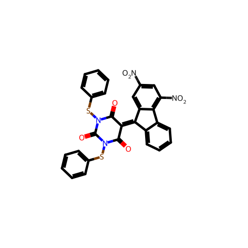 O=C1C(=C2c3ccccc3-c3c2cc([N+](=O)[O-])cc3[N+](=O)[O-])C(=O)N(Sc2ccccc2)C(=O)N1Sc1ccccc1